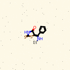 CCNC(=C1SC(=S)NC1=O)c1ccccc1